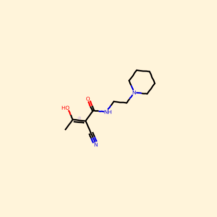 C/C(O)=C(\C#N)C(=O)NCCN1CCCCC1